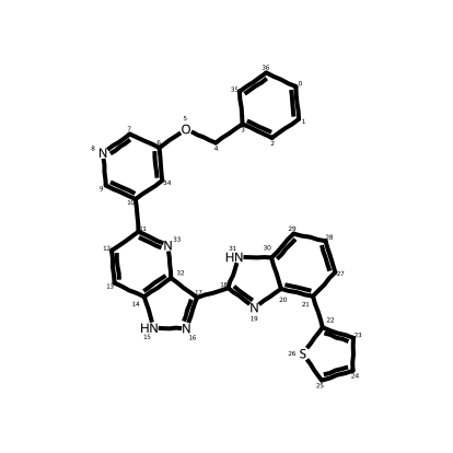 c1ccc(COc2cncc(-c3ccc4[nH]nc(-c5nc6c(-c7cccs7)cccc6[nH]5)c4n3)c2)cc1